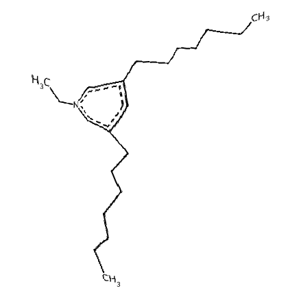 CCCCCCCc1cc(CCCCCCC)c[n+](CC)c1